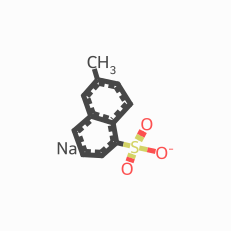 Cc1ccc2c(S(=O)(=O)[O-])cccc2c1.[Na+]